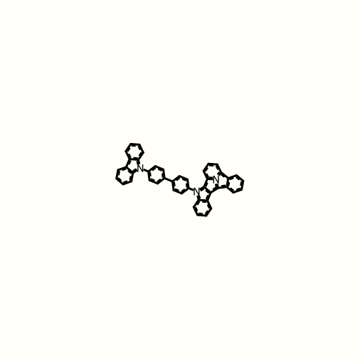 c1ccc2c(c1)c1ccccc1n2-c1ccc(-c2ccc(-n3c4ccccc4c4c3c3cccc5c6ccccc6c4n53)cc2)cc1